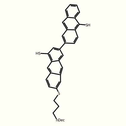 CCCCCCCCCCCCCSc1ccc2cc3c(S)cc(-c4ccc5c(S)c6ccccc6cc5c4)cc3cc2c1